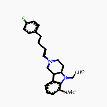 CNc1cccc2c1N(CC=O)C1CCN(CCCCc3ccc(F)cc3)CC21